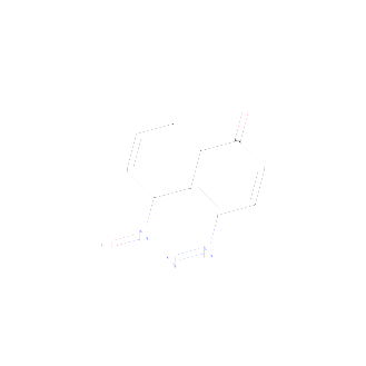 O=C1C=CC2=C3C1=CC=CC3[N+](=O)N=N2